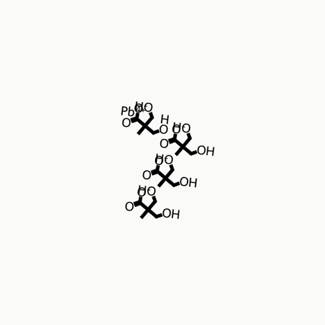 CC(CO)(CO)C(=O)[O-].CC(CO)(CO)C(=O)[O-].CC(CO)(CO)C(=O)[O-].CC(CO)(CO)C(=O)[O-].[Pb+4]